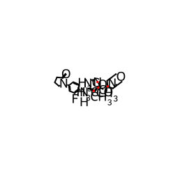 Cc1c(Nc2ccc(N3CCCC3=O)cc2F)ncnc1OC1CC2COCC(C1)N2C(=O)OC(C)(C)C